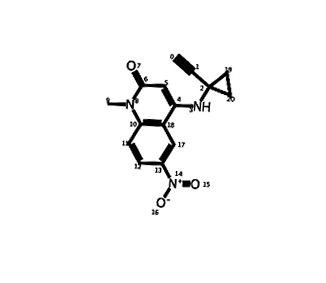 C#CC1(Nc2cc(=O)n(C)c3ccc([N+](=O)[O-])cc23)CC1